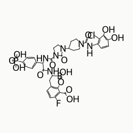 O=C(O)c1c(F)ccc2c1OB(O)[C@@H](NC(=O)C(NC(=O)N1CCN(C3CCN(C(=O)Nc4ccc(O)c(O)c4Cl)CC3)C1=O)c1ccc(P(=O)(O)O)cc1)C2